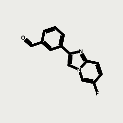 O=Cc1cccc(-c2cn3cc(F)ccc3n2)c1